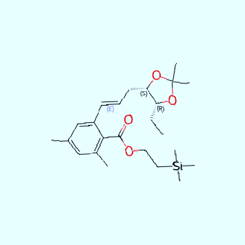 CC[C@H]1OC(C)(C)O[C@H]1C/C=C/c1cc(C)cc(C)c1C(=O)OCC[Si](C)(C)C